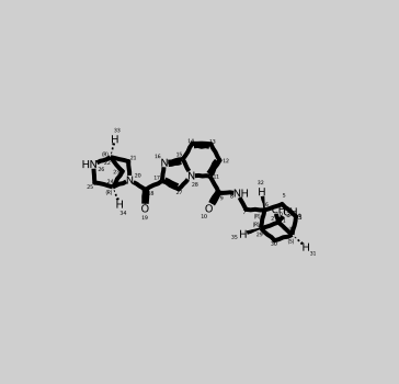 CC1(C)[C@H]2CC[C@@H](CNC(=O)c3cccc4nc(C(=O)N5C[C@H]6C[C@@H]5CN6)cn34)[C@H]1C2